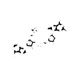 Nc1ncnc2c1ncn2[C@@H]1O[C@H](COP(=O)(O)S)C(OP(=O)(S)OC[C@H]2O[C@@H](n3c(=O)sc4c(N)nc(Cl)nc43)C[C@@H]2O)[C@H]1F